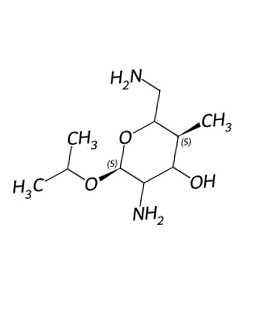 CC(C)O[C@H]1OC(CN)[C@@H](C)C(O)C1N